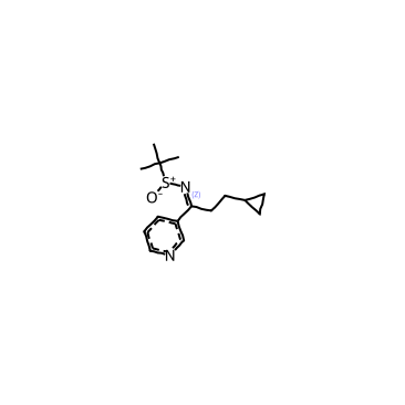 CC(C)(C)[S+]([O-])/N=C(/CCC1CC1)c1cccnc1